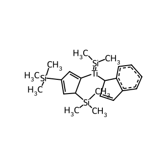 C[Si](C)=[Ti]([C]1=CC([Si](C)(C)C)=CC1[Si](C)(C)C)[CH]1C=Cc2ccccc21